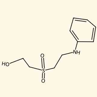 O=S(=O)(CCO)CCNc1ccccc1